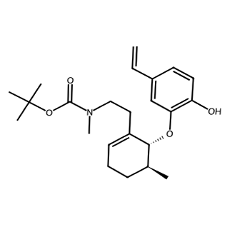 C=Cc1ccc(O)c(O[C@H]2C(CCN(C)C(=O)OC(C)(C)C)=CCC[C@@H]2C)c1